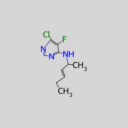 CCC=CC(C)Nc1ncnc(Cl)c1F